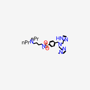 CCCN(CCC)CCCCN(C)S(=O)(=O)c1ccc(CN(Cc2ncc[nH]2)Cc2nccn2C)cc1